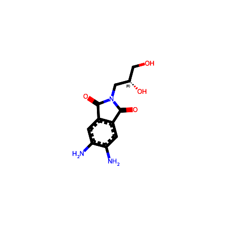 Nc1cc2c(cc1N)C(=O)N(C[C@@H](O)CO)C2=O